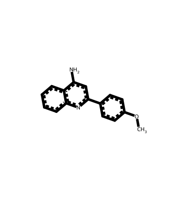 COc1ccc(-c2cc(N)c3ccccc3n2)cc1